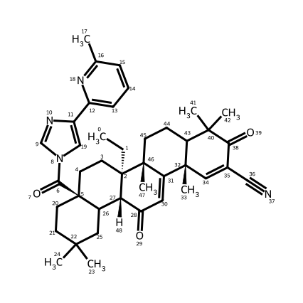 CC[C@@]12CC[C@@]3(C(=O)n4cnc(-c5cccc(C)n5)c4)CCC(C)(C)CC3[C@H]1C(=O)C=C1[C@@]3(C)C=C(C#N)C(=O)C(C)(C)C3CC[C@]12C